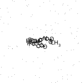 COC(=O)C1CCN(Cc2ccc([C@H]3CC4(C)C(CC[C@@]4(O)C(F)(F)C(F)(F)F)C4CCC5=CC(=O)CCC5=C43)cc2)CC1